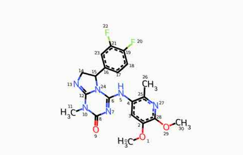 COc1cc(NC2=NC(=O)N(C)C3=NCC(c4ccc(F)c(F)c4)N23)c(C)nc1OC